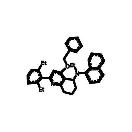 CCc1cccc(CC)c1-c1cc(OCc2ccccc2)c2c(n1)CCCC2N(CC)c1cccc2ccccc12